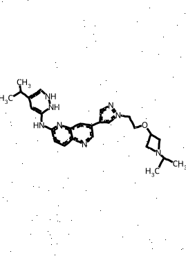 CC(C)C1=CNNC(Nc2ccc3ncc(-c4cnn(CCOC5CN(C(C)C)C5)c4)cc3n2)=C1